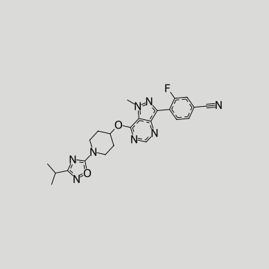 CC(C)c1noc(N2CCC(Oc3ncnc4c(-c5ccc(C#N)cc5F)nn(C)c34)CC2)n1